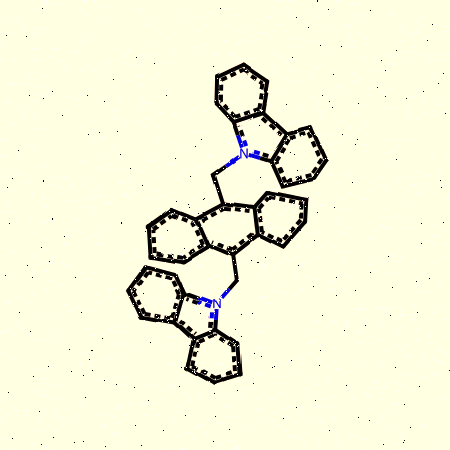 c1ccc2c(Cn3c4ccccc4c4ccccc43)c3ccccc3c(Cn3c4ccccc4c4ccccc43)c2c1